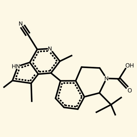 Cc1nc(C#N)c2[nH]c(C)c(C)c2c1-c1cccc2c1CCN(C(=O)O)C2C(C)(C)C